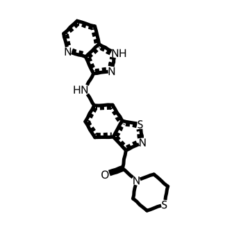 O=C(c1nsc2cc(Nc3n[nH]c4cccnc34)ccc12)N1CCSCC1